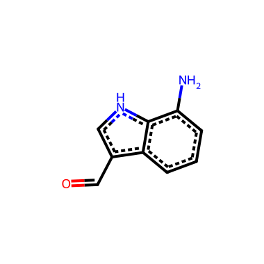 Nc1cccc2c(C=O)c[nH]c12